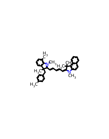 Cc1ccc(CC2(C)C(/C=C/C=C/C=C3/N(C)c4ccc5ccccc5c4C3(C)C)=[N+](C)c3c(C)cccc32)cc1